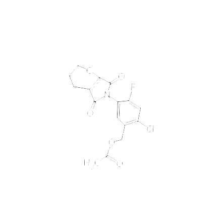 CC(=O)OCc1cc(N2C(=O)C3=C(CCCC3)C2=O)c(F)cc1Cl